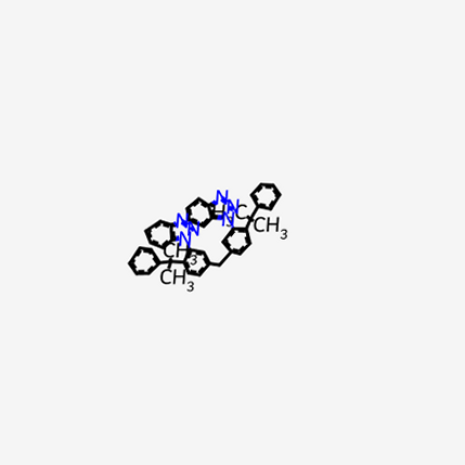 CC(C)(c1ccccc1)c1ccc(Cc2ccc(C(C)(C)c3ccccc3)c(-n3nnc4ccccc43)c2)cc1-n1nnc2ccccc21